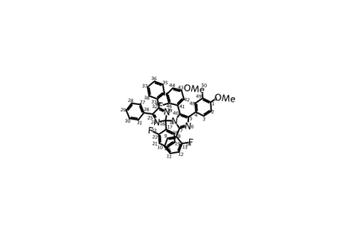 COc1ccc(-c2nc(-c3ccccc3F)n(C3(c4ccccc4F)N=C(c4ccccc4)C(c4ccccc4)=N3)c2-c2ccccc2F)cc1OC